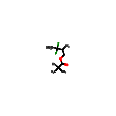 CCC(C)(C)C(=O)OCC(C(F)(F)F)C(F)(F)S(=O)(=O)O